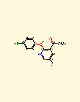 COC(=O)c1cc(I)cnc1Oc1ccc(F)cc1